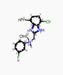 CCCc1ccc(Cl)c2[nH]c(C[N+](C)(C=O)c3cccc(F)c3)nc12